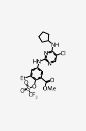 CCc1cc(Nc2ncc(Cl)c(NC3CCCC3)n2)cc(C(=O)OC)c1OS(=O)(=O)C(F)(F)F